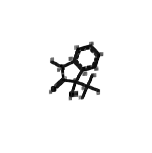 CN1C(=O)C(O)(C(C)(C)C)c2ccccc21